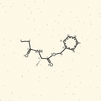 CCC(=O)N[C@@H](C)C(=O)OCc1ccccc1